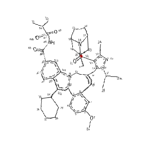 COc1ccc2c(c1)C=C(c1c(C(=O)N3C4CCC3CN(C)C4)c(C)nn1C(C)C)Cn1c-2c(C2CCCCC2)c2ccc(C(=O)NS(=O)(=O)C(C)C)cc21